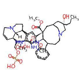 CC[C@]1(O)CC2C[N@](CCC3c4ccccc4NC3[C@@](C(=O)OC)(c3cc([C@]45CCN6CC=C[C@](CCOS(=O)(=O)O)([C@H]64)[C@@H](O)[C@](O)(C(N)=O)C5)c(NC)cc3OC)C2)C1